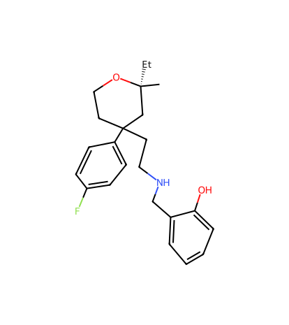 CC[C@]1(C)CC(CCNCc2ccccc2O)(c2ccc(F)cc2)CCO1